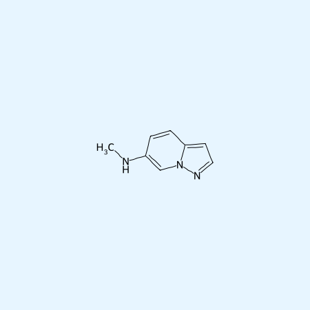 CNc1ccc2ccnn2c1